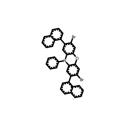 Brc1cc2c(cc1-c1cccc3ccccc13)N(c1ccccc1)c1cc(-c3cccc4ccccc34)c(Br)cc1O2